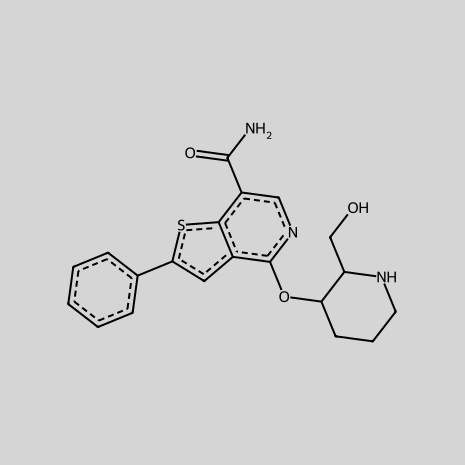 NC(=O)c1cnc(OC2CCCNC2CO)c2cc(-c3ccccc3)sc12